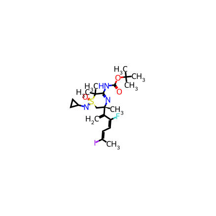 C=C(/C(F)=C\C=C(/C)I)[C@]1(C)C[S@](=O)(=NC2CC2)C(C)(C)C(NC(=O)OC(C)(C)C)=N1